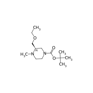 CCOC[C@H]1CN(C(=O)OC(C)(C)C)CCN1C